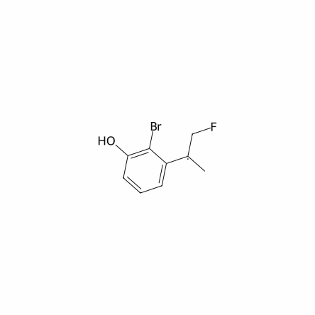 C[C](CF)c1cccc(O)c1Br